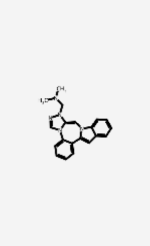 CN(C)CN1N=CN2C1=Cn1c(cc3ccccc31)-c1ccccc12